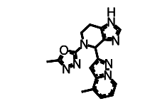 Cc1nnc(N2CCc3[nH]cnc3C2c2cc3c(C)cccn3n2)o1